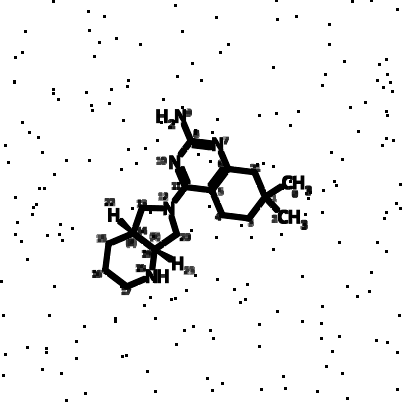 CC1(C)CCc2c(nc(N)nc2N2C[C@H]3CCCN[C@H]3C2)C1